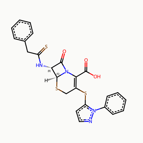 O=C(O)C1=C(Sc2ccnn2-c2ccccc2)CS[C@H]2[C@H](NC(=S)Cc3ccccc3)C(=O)N12